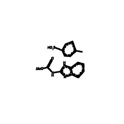 COC(=O)Nc1nc2ccccc2[nH]1.Cc1ccc(S(=O)(=O)O)cc1